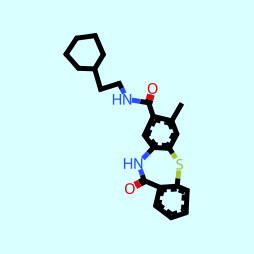 Cc1cc2c(cc1C(=O)NCCC1CCCCC1)NC(=O)c1ccccc1S2